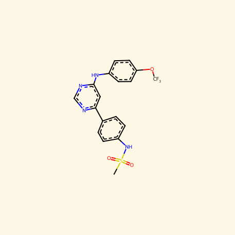 CS(=O)(=O)Nc1ccc(-c2cc(Nc3ccc(OC(F)(F)F)cc3)ncn2)cc1